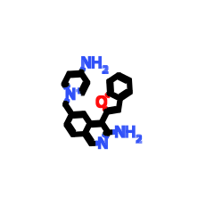 Nc1cc[n+](Cc2ccc3cnc(N)c(-c4cc5ccccc5o4)c3c2)cc1